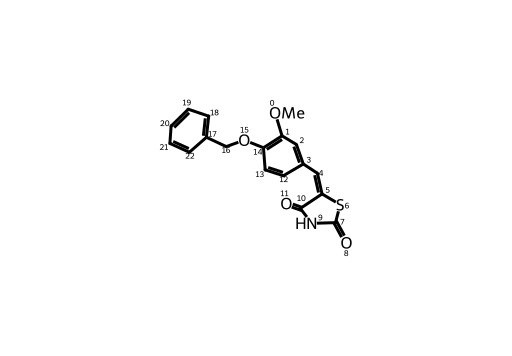 COc1cc(C=C2SC(=O)NC2=O)ccc1OCc1ccccc1